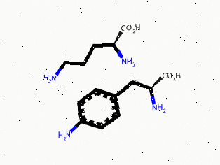 NCCC[C@H](N)C(=O)O.Nc1ccc(C[C@H](N)C(=O)O)cc1